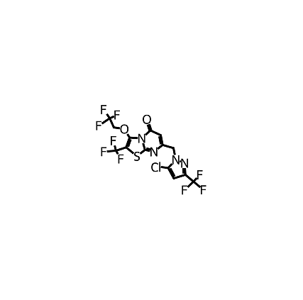 O=c1cc(Cn2nc(C(F)(F)F)cc2Cl)nc2sc(C(F)(F)F)c(OCC(F)(F)F)n12